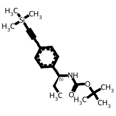 CC[C@H](NC(=O)OC(C)(C)C)c1ccc(C#C[Si](C)(C)C)cc1